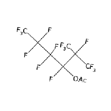 CC(=O)OC(F)(C(F)(F)C(F)(F)C(F)(F)F)C(F)(C(F)(F)F)C(F)(F)F